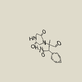 CC(C=O)(C(C(N)=O)c1ccccc1)N1CC(=O)NCC1=O